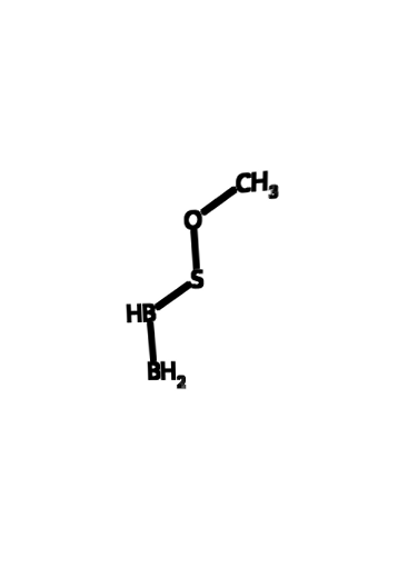 BBSOC